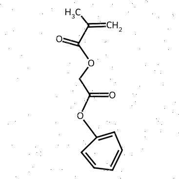 C=C(C)C(=O)OCC(=O)Oc1ccccc1